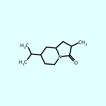 CC1CC2CC(C(C)C)CCN2C1=O